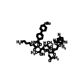 CCCCc1ccc(-c2ccc(C(=O)N[C@@H](CCCCN)C(=O)N[C@H](C(=O)N[C@@H](C)C(=O)N[C@@H](CC(N)=O)C(=O)NCC3OC4C[C@@H]5C[C@@H](C5(C)C)[C@]4(C)O3)C(C)O)cc2)cc1